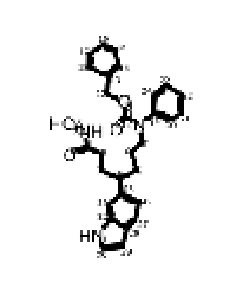 O=C(CCC(CCCN(C(=O)OCc1ccccc1)c1ccccc1)c1ccc2cc[nH]c2c1)NO